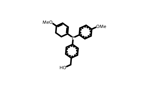 COC1=CC=C(P(c2ccc(CO)cc2)c2ccc(OC)cc2)CC1